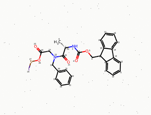 C[C@H](NC(=O)OCC1c2ccccc2-c2ccccc21)C(=O)N(CC(=O)OSI)Cc1ccccc1